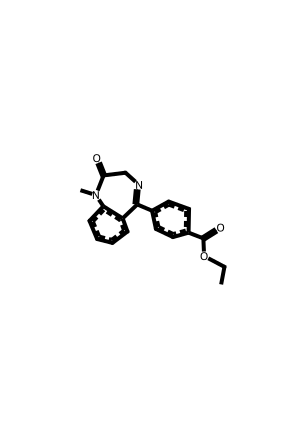 CCOC(=O)c1ccc(C2=NCC(=O)N(C)c3ccccc32)cc1